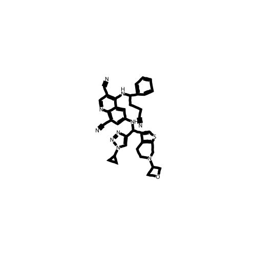 N#CCCC(Nc1c(C#N)cnc2c(C#N)cc(NC(c3cn(C4CC4)nn3)c3csc4c3CCN(C3COC3)C4)cc12)c1ccccc1